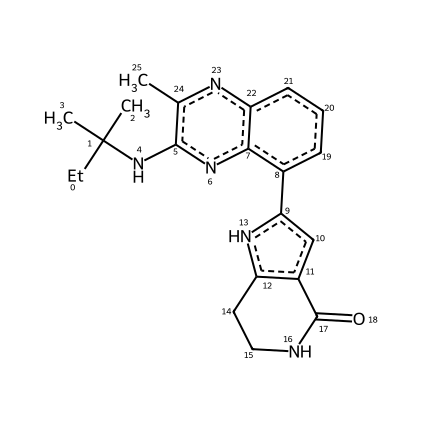 CCC(C)(C)Nc1nc2c(-c3cc4c([nH]3)CCNC4=O)cccc2nc1C